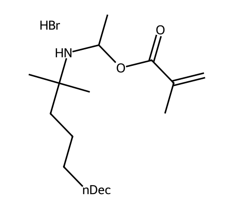 Br.C=C(C)C(=O)OC(C)NC(C)(C)CCCCCCCCCCCCC